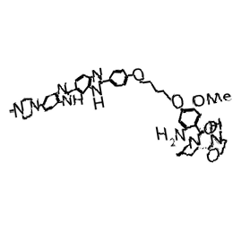 C=C1C[C@@H](C2NCCO2)N(C(=O)c2cc(OC)c(OCCCCCOc3ccc(-c4nc5ccc(-c6nc7cc(N8CCN(C)CC8)ccc7[nH]6)cc5[nH]4)cc3)cc2N)C1